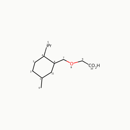 CC1CCC(C(C)C)C(COCC(=O)O)C1